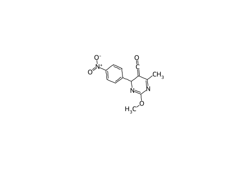 COC1=NC(c2ccc([N+](=O)[O-])cc2)C(=C=O)C(C)=N1